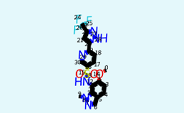 COc1ccc2cnn(C)c2c1NS(=O)(=O)c1ccc(-c2cc(C(F)(F)F)n[nH]2)nc1